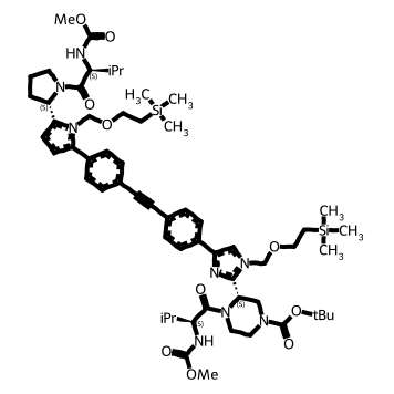 COC(=O)N[C@H](C(=O)N1CCN(C(=O)OC(C)(C)C)C[C@H]1c1nc(-c2ccc(C#Cc3ccc(-c4ccc([C@@H]5CCCN5C(=O)[C@@H](NC(=O)OC)C(C)C)n4COCC[Si](C)(C)C)cc3)cc2)cn1COCC[Si](C)(C)C)C(C)C